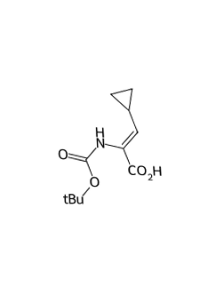 CC(C)(C)OC(=O)NC(=CC1CC1)C(=O)O